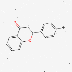 [2H]c1ccc(C2CC(=O)c3ccccc3O2)cc1